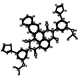 CC(C)Oc1cc(C2=CC=CC2)cc(N2C(=O)c3ccc4c5c(c6cc7ccccc7cc6c(c35)C2=O)C(=O)N(c2cc(OC(C)C)cc(C3=CC=CC3)c2)C4=O)c1